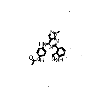 CC(=O)Nc1ccc(Nc2nc(-c3cccc4[nH]ncc34)nc3c2cnn3C)cc1